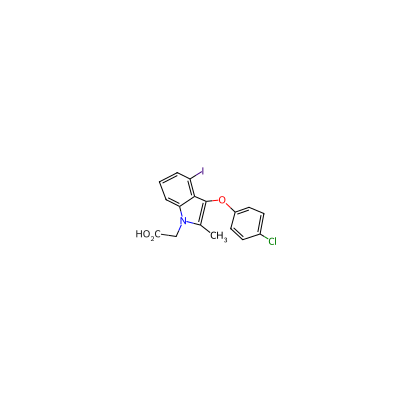 Cc1c(Oc2ccc(Cl)cc2)c2c(I)cccc2n1CC(=O)O